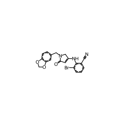 N#Cc1cccc(Br)c1NC1=CC(=O)N(Cc2ccc3c(c2)OCO3)C1